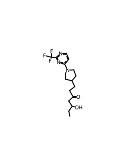 CCC(O)CC(=O)CCC1CCN(c2ccnc(C(F)(F)F)n2)CC1